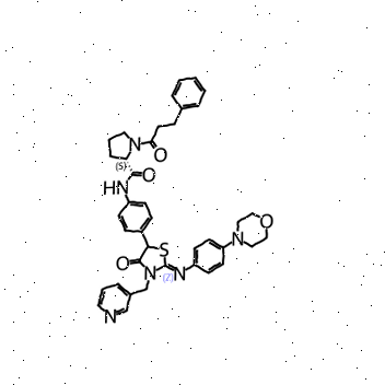 O=C(Nc1ccc(C2S/C(=N\c3ccc(N4CCOCC4)cc3)N(Cc3cccnc3)C2=O)cc1)[C@@H]1CCCN1C(=O)CCc1ccccc1